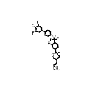 C/C=C/C1COC(c2ccc(C(F)(F)Oc3ccc(-c4cc(F)c(F)c(F)c4)cc3)c(F)c2)OC1